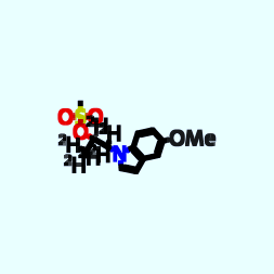 [2H]C([2H])([2H])[C@@]([2H])(OS(C)(=O)=O)C([2H])([2H])n1ccc2cc(OC)ccc21